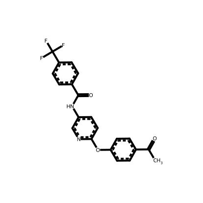 CC(=O)c1ccc(Oc2ccc(NC(=O)c3ccc(C(F)(F)F)cc3)cn2)cc1